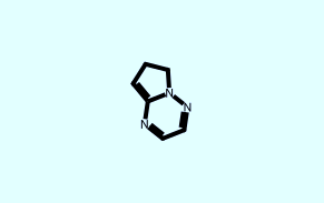 C1=NC2=CCCN2N=C1